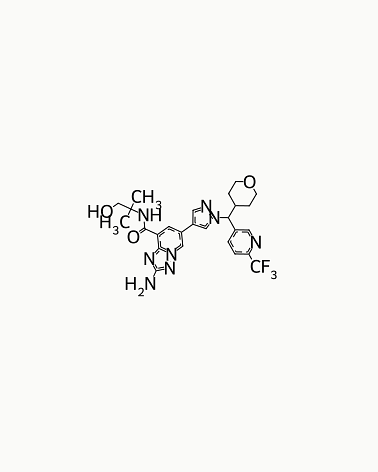 CC(C)(CO)NC(=O)c1cc(-c2cnn(C(c3ccc(C(F)(F)F)nc3)C3CCOCC3)c2)cn2nc(N)nc12